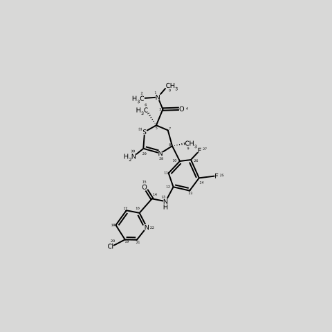 CN(C)C(=O)[C@@]1(C)C[C@@](C)(c2cc(NC(=O)c3ccc(Cl)cn3)cc(F)c2F)N=C(N)S1